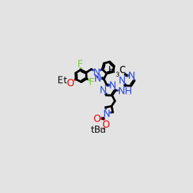 CCOc1cc(F)c(Cn2nc(-c3ncc(CC4CN(C(=O)OC(C)(C)C)C4)c(Nc4ccnc(C)n4)n3)c3ccccc32)c(F)c1